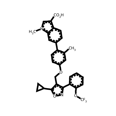 Cc1cc(OCc2c(-c3ccccc3OC(F)(F)F)noc2C2CC2)ccc1-c1ccc2c(C(=O)O)cn(C)c2c1